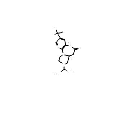 CC(C)N1CCN2c3ncc(C(F)(F)F)cc3NC(=O)C[C@H]2C1